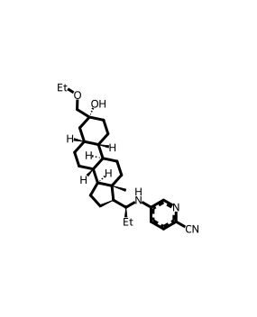 CCOC[C@@]1(O)CC[C@H]2[C@H](CC[C@@H]3[C@@H]2CC[C@]2(C)[C@@H]([C@H](CC)Nc4ccc(C#N)nc4)CC[C@@H]32)C1